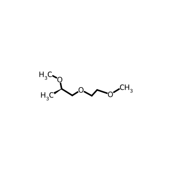 COCCOC[C@@H](C)OC